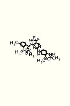 COc1cc(Nc2ncc(C(F)(F)F)c(NCc3ccc(C)cc3N(C)S(C)(=O)=O)n2)ccc1NC(C)=O